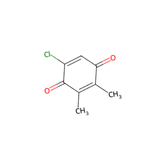 CC1=C(C)C(=O)C(Cl)=CC1=O